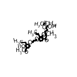 CCCc1c(OCCCOc2ccc3c(c2CCC)OC(C)(CCC(OC(C)=O)C(C)O)CC3=O)ccc(C(C)=O)c1O